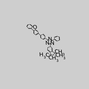 CC1(C)CC(C)(C)C2=CC(c3nc(-c4ccccc4)nc(-c4ccc(-c5ccc6c(c5)oc5ccccc56)cc4)n3)CC=C21